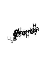 COc1ccc2ccc(Cl)c(C(O)CN3CCCC(CNCc4ccc5c(n4)NC(=O)CS5)C3)c2n1